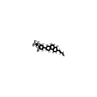 CCC=CC1CCc2c(ccc3c2CCC(c2ccc(OC(F)(F)F)c(F)c2)C3)C1